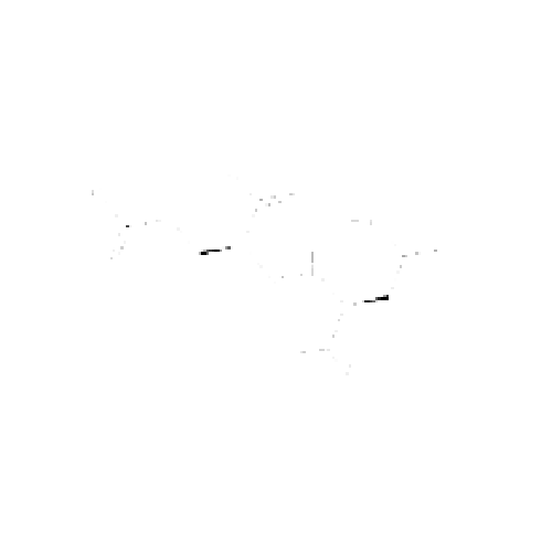 CC(C)C[C@H](NN[C@@H](CCC(=O)O)C(=O)O)C(=O)O